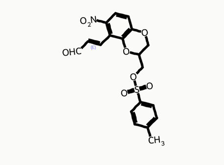 Cc1ccc(S(=O)(=O)OCC2COc3ccc([N+](=O)[O-])c(/C=C/C=O)c3O2)cc1